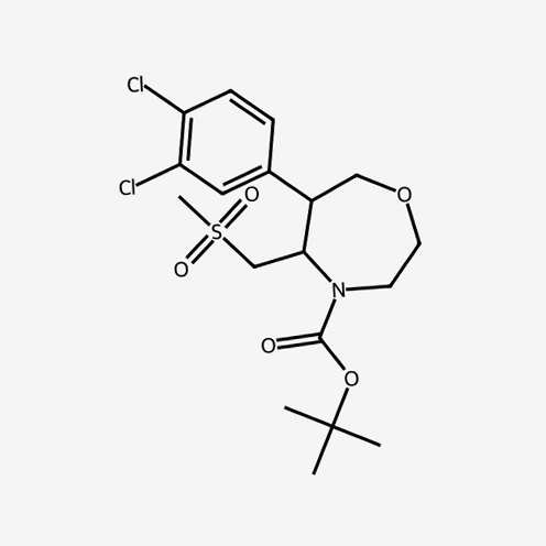 CC(C)(C)OC(=O)N1CCOCC(c2ccc(Cl)c(Cl)c2)C1CS(C)(=O)=O